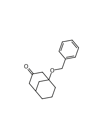 O=C1CC2CCCC(OCc3ccccc3)(C1)C2